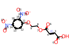 O=C(O)/C=C/C(=O)OCCOc1ccc([N+](=O)[O-])cc1[N+](=O)[O-]